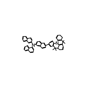 CC1(C)C2=C3C(CC=C2)C(C)(C)c2cc(-c4ccc5cc(N(c6ccc7ccccc7c6)c6cccc7ccccc67)ccc5c4)ccc2N3C2=C1CCC=C2